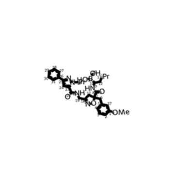 COc1cccc(CC2(C(=O)NC(CC(C)C)B(O)O)CC(CNC(=O)c3cc(-c4ccccc4)nn3C(C)C)=NO2)c1